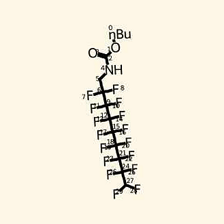 CCCCOC(=O)NCC(F)(F)C(F)(F)C(F)(F)C(F)(F)C(F)(F)C(F)(F)C(F)(F)C(F)F